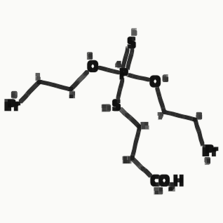 CC(C)CCOP(=S)(OCCC(C)C)SCCC(=O)O